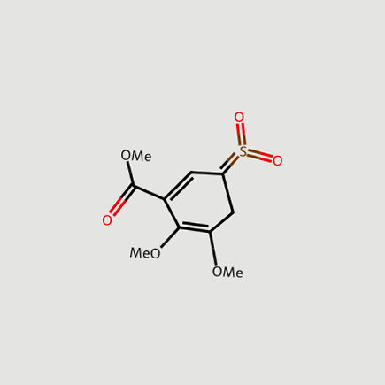 COC(=O)C1=CC(=S(=O)=O)CC(OC)=C1OC